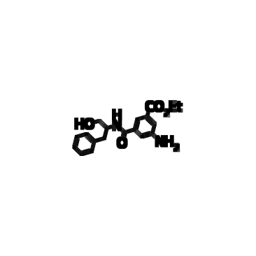 CCOC(=O)c1cc(N)cc(C(=O)NC(CO)Cc2ccccc2)c1